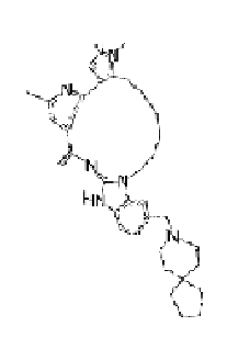 C=C1/N=C2\Nc3ccc(CN4CCC5(CCCC5)CC4)cc3N2CCCCCCc2c(cnn2C)-c2cc1cc(C)n2